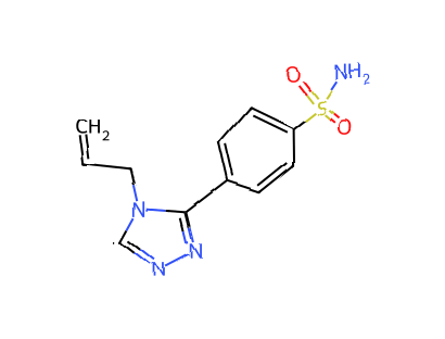 C=CCn1[c]nnc1-c1ccc(S(N)(=O)=O)cc1